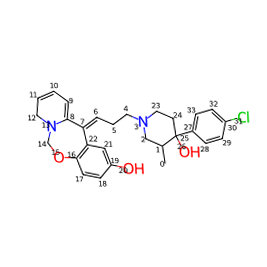 CC1CN(CCC=C2C3=CC=CCN3COc3ccc(O)cc32)CCC1(O)c1ccc(Cl)cc1